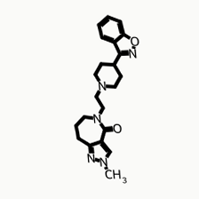 Cn1cc2c(n1)CCCN(CCN1CCC(c3noc4ccccc34)CC1)C2=O